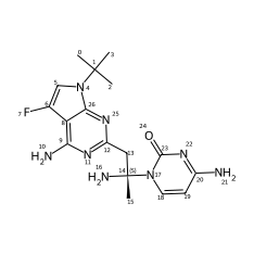 CC(C)(C)n1cc(F)c2c(N)nc(C[C@@](C)(N)n3ccc(N)nc3=O)nc21